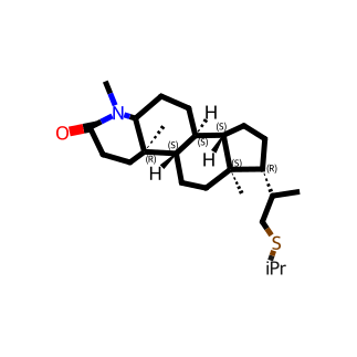 CC(C)SCC(C)[C@H]1CC[C@H]2[C@@H]3CCC4N(C)C(=O)CC[C@]4(C)[C@H]3CC[C@]12C